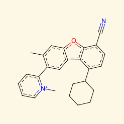 Cc1cc2oc3c(C#N)ccc(C4CCCCC4)c3c2cc1-c1cccc[n+]1C